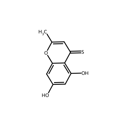 Cc1cc(=S)c2c(O)cc(O)cc2o1